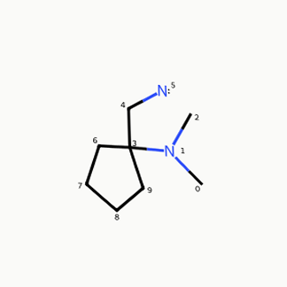 CN(C)C1(C[N])CCCC1